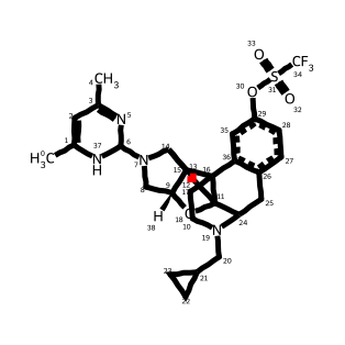 CC1=CC(C)=NC(N2C[C@H]3OC45CCC2C3C42CCN(CC3CC3)C5Cc3ccc(OS(=O)(=O)C(F)(F)F)cc32)N1